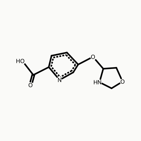 O=C(O)c1ccc(OC2COCN2)cn1